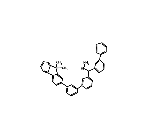 CC1(C)c2ccccc2-c2ccc(-c3cccc(-c4cccc(C(NN)c5cccc(-c6ccccc6)c5)c4)c3)cc21